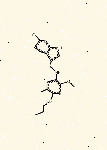 COc1nc(OCCF)c(F)cc1NSc1c[nH]c2cc(Cl)ccc12